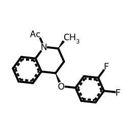 CC(=O)N1c2ccccc2[C@H](Oc2ccc(F)c(F)c2)C[C@@H]1C